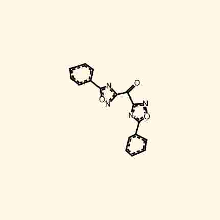 O=C(c1noc(-c2ccccc2)n1)c1noc(-c2ccccc2)n1